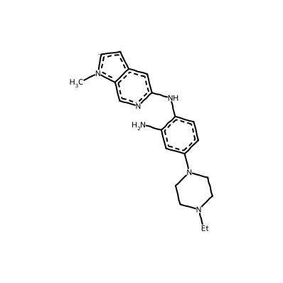 CCN1CCN(c2ccc(Nc3cc4c[c]n(C)c4cn3)c(N)c2)CC1